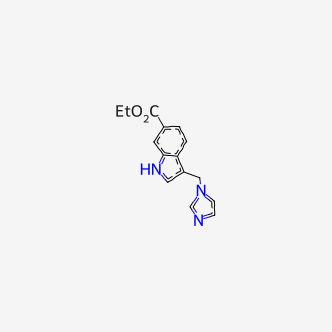 CCOC(=O)c1ccc2c(Cn3ccnc3)c[nH]c2c1